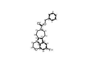 O=C(OCc1ccccc1)N1CCc2c(n3c4c(cc(F)cc24)OCC3)CC1